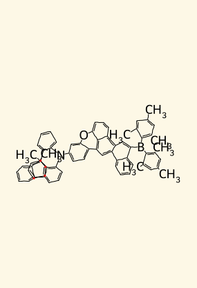 Cc1cc(C)c(B(c2c(C)cc(C)cc2C)c2cc3c4cccc5c4c(cc3c3ccccc23)-c2ccc(N(c3ccccc3-c3ccccc3)c3cccc4c3C(C)(C)c3ccccc3-4)cc2O5)c(C)c1